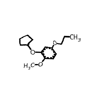 CCCOc1ccc(OC)c(OC2CCCC2)c1